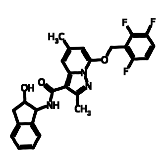 Cc1cc(OCc2c(F)ccc(F)c2F)n2nc(C)c(C(=O)NC3c4ccccc4CC3O)c2c1